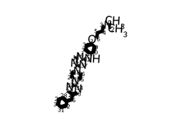 CN(C)CCCCOc1ccc(Nc2ncnc(N3CCN(c4ncc(Cc5ccccc5)cn4)CC3)n2)cc1